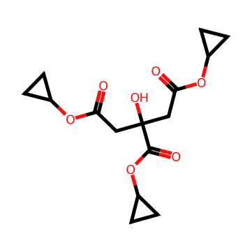 O=C(CC(O)(CC(=O)OC1CC1)C(=O)OC1CC1)OC1CC1